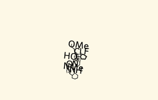 CNC[C@H](CC1CCCCC1)NC(=O)N1CCC[C@@H]([C@@](O)(CCCCOC)c2cccc(F)c2Cl)C1